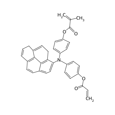 C=CC(=O)Oc1ccc(N(c2ccc(OC(=O)C(=C)C)cc2)c2ccc3ccc4c5c3c2CC=C5CC=C4)cc1